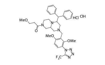 COCCC(=O)N1CCN2C(CN(Cc3c(OC)ccc(-n4nnnc4C(F)(F)F)c3OC)CC2C(c2ccccc2)c2ccccc2)C1.Cl.Cl